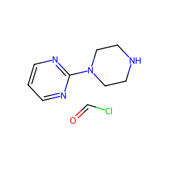 O=CCl.c1cnc(N2CCNCC2)nc1